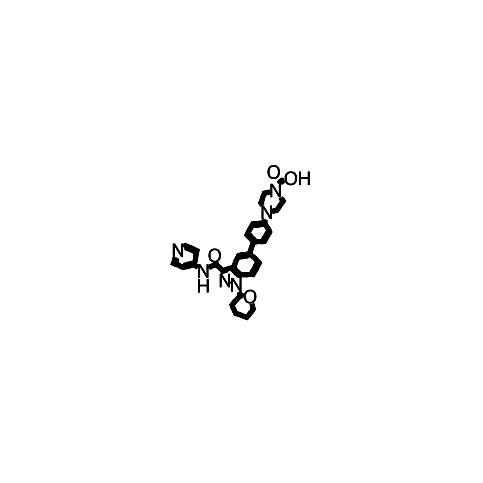 O=C(Nc1ccncc1)c1nn(C2CCCCO2)c2ccc(-c3ccc(N4CCN(C(=O)O)CC4)cc3)cc12